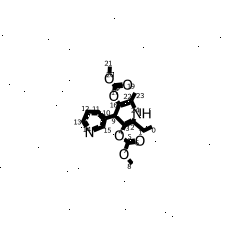 CCC1=C(OC(=O)OC)C(c2cccnc2)C(OC(=O)OC)=C(C)N1